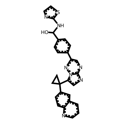 OC(Nc1nccs1)c1ccc(-c2cnc3ncc(C4(c5ccc6ncccc6c5)CC4)n3n2)cc1